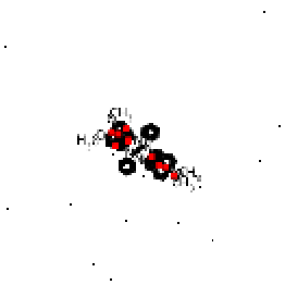 COc1ccc2cc(N3c4ccccc4N(c4ccc5cc(OC)ccc5c4)C3C3N(c4ccc5cc(OC)ccc5c4)c4ccccc4N3c3ccc4cc(OC)ccc4c3)ccc2c1